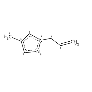 C=CCn1cc(C(F)(F)F)[c]n1